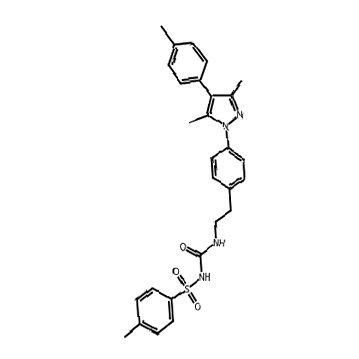 Cc1ccc(-c2c(C)nn(-c3ccc(CCNC(=O)NS(=O)(=O)c4ccc(C)cc4)cc3)c2C)cc1